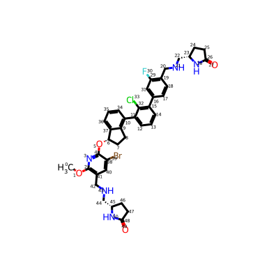 COc1nc(O[C@H]2CCc3c(-c4cccc(-c5ccc(CNC[C@@H]6CCC(=O)N6)c(F)c5)c4Cl)cccc32)c(Br)cc1CNC[C@@H]1CCC(=O)N1